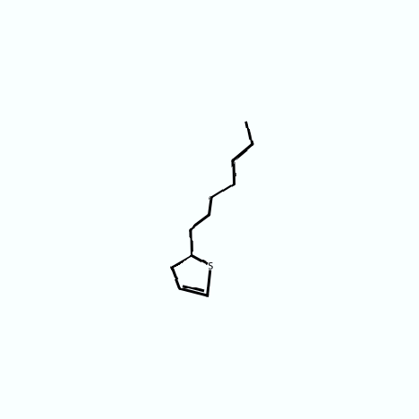 CCCCCCCC1CC=CS1